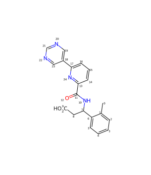 Cc1ccccc1C(CC(=O)O)NC(=O)c1cccc(-c2cncnc2)n1